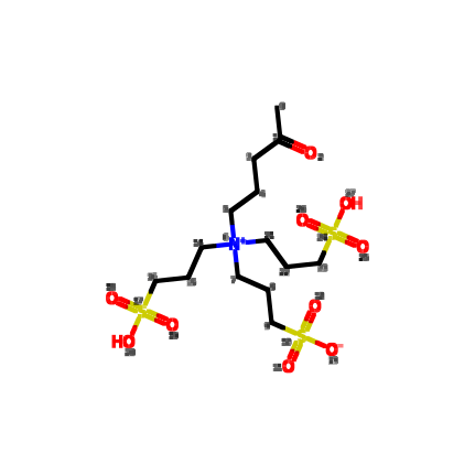 CC(=O)CCC[N+](CCCS(=O)(=O)[O-])(CCCS(=O)(=O)O)CCCS(=O)(=O)O